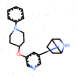 c1ccc(N2CCC(Oc3cncc(N4CC5CCC(C4)NC5)c3)CC2)cc1